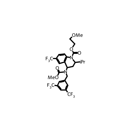 COCCOC(=O)N1c2ccc(C(F)(F)F)cc2C(N(Cc2cc(C(F)(F)F)cc(C(F)(F)F)c2)C(=O)OC)CC1C(C)C